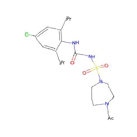 CC(=O)N1CCN(S(=O)(=O)NC(=O)Nc2c(C(C)C)cc(Cl)cc2C(C)C)CC1